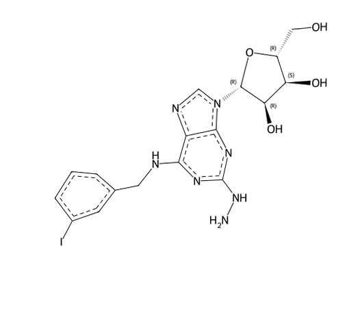 NNc1nc(NCc2cccc(I)c2)c2ncn([C@@H]3O[C@H](CO)[C@@H](O)[C@H]3O)c2n1